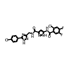 O=C(NCc1n[nH]c(-c2ccc(Cl)cc2)n1)c1cc(NC(=O)c2cc(F)c(F)cc2Cl)[nH]n1